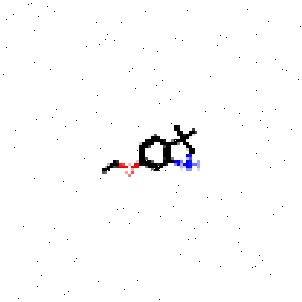 CCOc1ccc2c(c1)NCC2(C)C